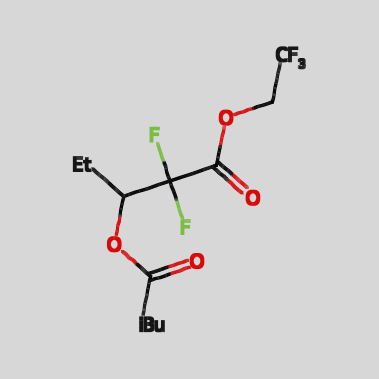 CCC(C)C(=O)OC(CC)C(F)(F)C(=O)OCC(F)(F)F